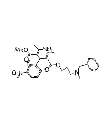 COC(=O)C1=C(C)NC(C)=C(C(=O)OCCCN(C)Cc2ccccc2)C1c1cccc([N+](=O)[O-])c1F